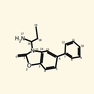 C=C1Oc2ccc(-c3ccccc3)cc2N1C(N)CC